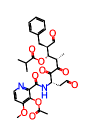 COc1ccnc(C(=O)N[C@@H](CC=O)C(=O)C(=O)[C@@H](C)[C@H](OC(=O)C(C)C)[C@H](C=O)Cc2ccccc2)c1OC(C)=O